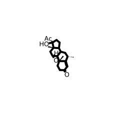 CC(=O)[C@@]1(O)CCC2C3C[C@H](C)C4=CC(=O)CC[C@]4(C)[C@@]34O[C@H]4C[C@@]21C